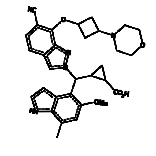 COc1cc(C)c2[nH]ccc2c1C(C1CC1C(=O)O)n1cc2ccc(C#N)c(OC3CC(N4CCOCC4)C3)c2n1